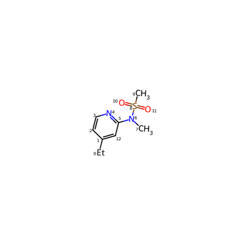 CCc1ccnc(N(C)S(C)(=O)=O)c1